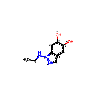 CCNn1ncc2cc(O)c(O)cc21